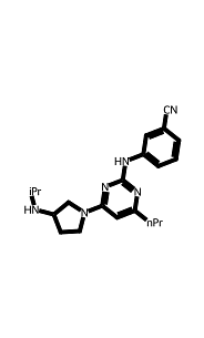 CCCc1cc(N2CCC(NC(C)C)C2)nc(Nc2cccc(C#N)c2)n1